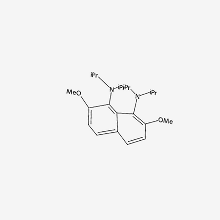 COc1ccc2ccc(OC)c(N(C(C)C)C(C)C)c2c1N(C(C)C)C(C)C